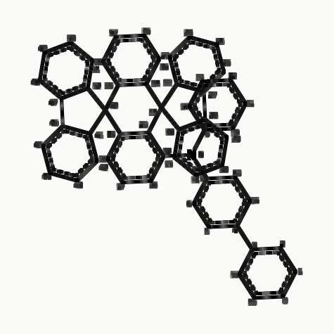 c1ccc(-c2ccc(N(c3ccccc3)c3cccc4c3C3(c5ccccc5-c5ccccc53)c3ccccc3C43c4ccccc4-c4ccccc43)cc2)cc1